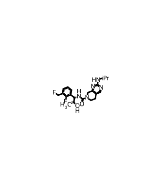 CC(C)Nc1ncc2c(n1)CN(C(=O)N[C@@H](c1cccc(CF)c1F)[C@@H](C)O)CC2